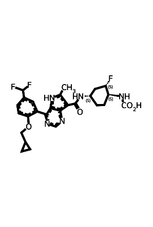 Cc1[nH]c2c(-c3cc(C(F)F)ccc3OCC3CC3)ncnc2c1C(=O)N[C@H]1CC[C@H](NC(=O)O)[C@@H](F)C1